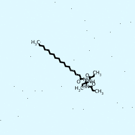 [CH2]CC(NC(=O)CC)(NC(=O)CC)NC(=O)CCCCCCCCCCCCCCCCC